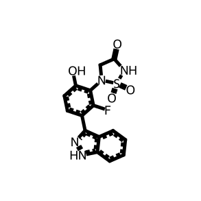 O=C1CN(c2c(O)ccc(-c3n[nH]c4ccccc34)c2F)S(=O)(=O)N1